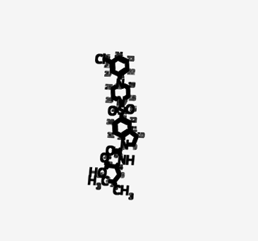 CC(C)CC(NC(=O)N1CCc2cc(S(=O)(=O)N3CCN(c4cccc(Cl)c4)CC3)ccc21)C(=O)O